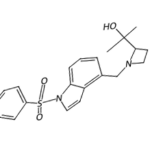 CC(C)(O)C1CCN1Cc1cccc2c1ccn2S(=O)(=O)c1ccccc1